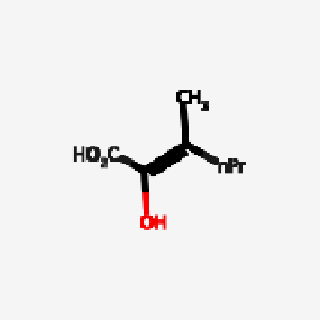 CCCC(C)=C(O)C(=O)O